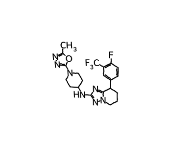 Cc1nnc(N2CCC(Nc3nc4n(n3)CCCC4c3ccc(F)c(C(F)(F)F)c3)CC2)o1